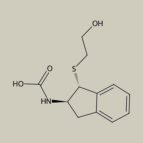 O=C(O)N[C@@H]1Cc2ccccc2[C@H]1SCCO